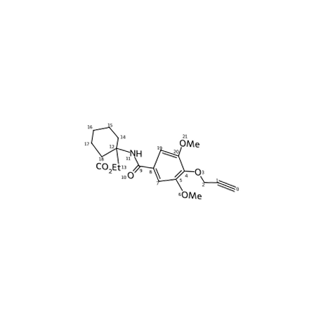 C#CCOc1c(OC)cc(C(=O)NC2(C(=O)OCC)CCCCC2)cc1OC